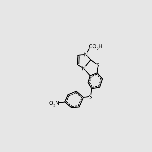 O=C(O)N1C=CN2c3cc(Sc4ccc([N+](=O)[O-])cc4)ccc3SC12